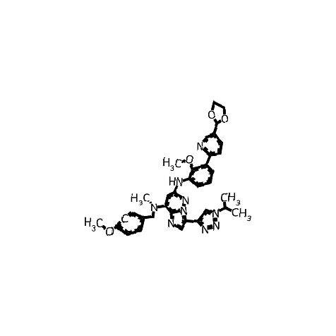 COc1ccc(CN(C)c2cc(Nc3cccc(-c4ccc(C5OCCO5)cn4)c3OC)nn3c(-c4cn(C(C)C)nn4)cnc23)cc1